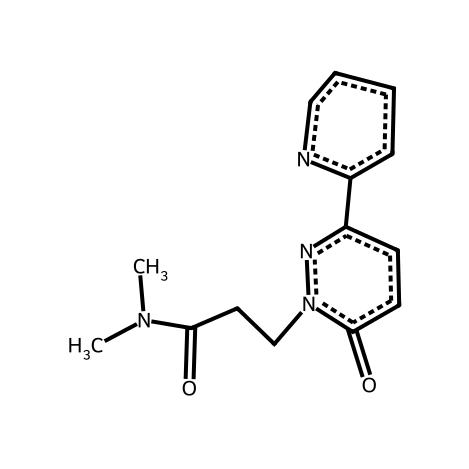 CN(C)C(=O)CCn1nc(-c2ccccn2)ccc1=O